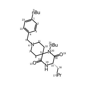 CCCCc1ccc(CN2CCC3(CC2)C(=O)N[C@@H](CC(C)C)C(=O)N3CCCC)cc1